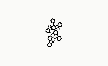 CC1(C)c2ccccc2-c2ccc(N(c3cccc4c3oc3ccccc34)c3cccc4oc5c(-c6ccccc6)c6c(cc5c34)oc3ccccc36)cc21